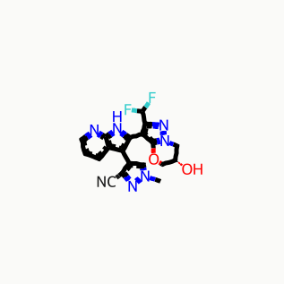 Cn1cc(-c2c(-c3c(C(F)F)nn4c3OC[C@@H](O)C4)[nH]c3ncccc23)c(C#N)n1